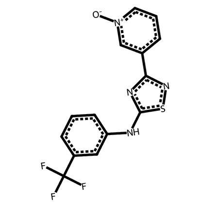 [O-][n+]1cccc(-c2nsc(Nc3cccc(C(F)(F)F)c3)n2)c1